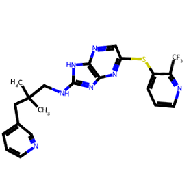 CC(C)(CNc1nc2nc(Sc3cccnc3C(F)(F)F)cnc2[nH]1)Cc1cccnc1